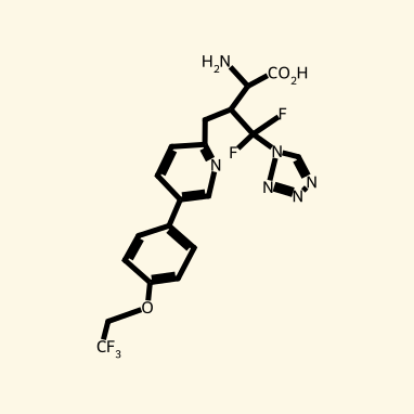 NC(C(=O)O)C(Cc1ccc(-c2ccc(OCC(F)(F)F)cc2)cn1)C(F)(F)n1cnnn1